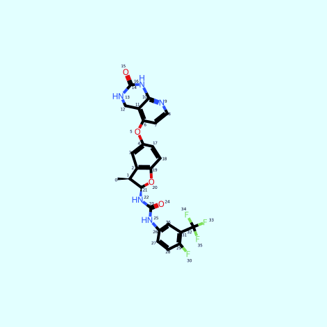 C[C@H]1c2cc(Oc3ccnc4c3CNC(=O)N4)ccc2O[C@H]1NC(=O)Nc1ccc(F)c(C(F)(F)F)c1